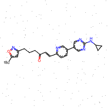 CC(C)(C)c1cc(CCCC(=O)/C=C/c2ccc(-c3cnc(NC4CC4)nc3)cn2)no1